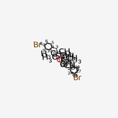 CC(C)(Cc1ccc(Br)cc1)[Si](C)(C)O[Si](C)(C)C(C)(C)Cc1ccc(Br)cc1